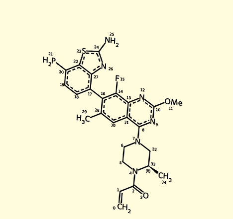 C=CC(=O)N1CCN(c2nc(OC)nc3c(F)c(-c4ccc(P)c5sc(N)nc45)c(C)cc23)C[C@H]1C